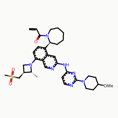 C=CC(=O)N1CCCCC[C@H]1c1ccc(N2C[C@H](CS(C)(=O)=O)[C@H]2C)c2cnc(Nc3ccnc(N4CCC(OC)CC4)n3)cc12